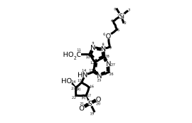 C[Si](C)(C)CCOCn1nc(C(=O)O)c2c(NC3C[C@@H](S(C)(=O)=O)C[C@H]3O)ncnc21